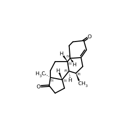 C[C@@H]1CC2=CC(=O)CC[C@H]2[C@H]2CC[C@]3(C)C(=O)CC[C@H]3[C@@H]21